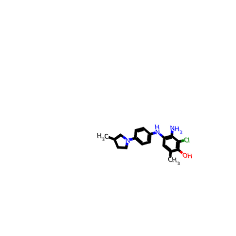 Cc1cc(Nc2ccc(N3CCC(C)C3)cc2)c(N)c(Cl)c1O